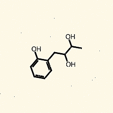 CC(O)C(O)Cc1ccccc1O